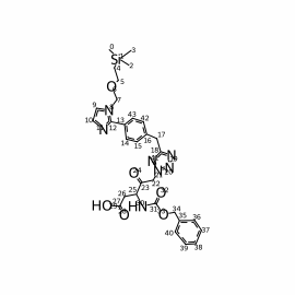 C[Si](C)(C)CCOCn1ccnc1-c1ccc(Cc2nnn(CC(=O)C(CC(=O)O)NC(=O)OCc3ccccc3)n2)cc1